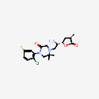 C[C@@H]1C[C@@H](C(N)CN2CC(=O)N(c3cc(F)ccc3Cl)CC2(C)C)OC1=O